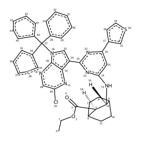 CCOC(=O)[C@@H]1C2CCC(CC2)[C@H]1Nc1cc(-c2ccsc2)nc(-c2cn(C(c3ccccc3)(c3ccccc3)c3ccccc3)c3ncc(Cl)nc23)n1